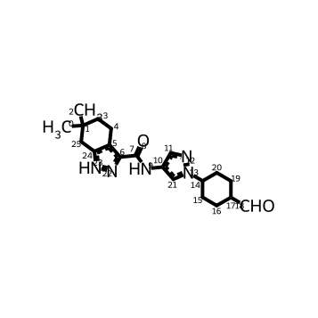 CC1(C)CCc2c(C(=O)Nc3cnn(C4CCC(C=O)CC4)c3)n[nH]c2C1